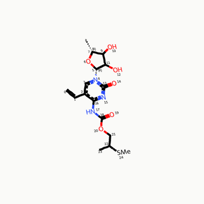 C=Cc1cn([C@@H]2O[C@H](C)C(O)C2O)c(=O)nc1NC(=O)OCC(C)SC